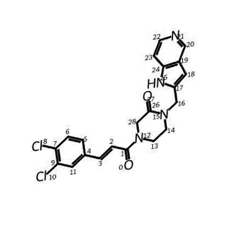 O=C(C=Cc1ccc(Cl)c(Cl)c1)N1CCN(Cc2cc3cnccc3[nH]2)C(=O)C1